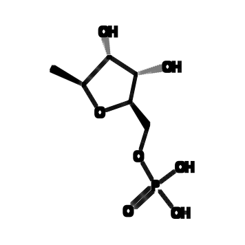 C[C@@H]1O[C@H](COP(=O)(O)O)[C@@H](O)[C@H]1O